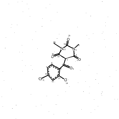 CN1C(=O)C(C(=O)c2ccc(Cl)cc2Cl)C(=O)N(C)C1=O